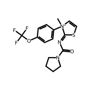 C[N+]1(c2ccc(OC(F)(F)F)cc2)C=CSC1=NC(=O)N1CCCC1